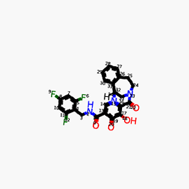 O=C(NCc1c(F)cc(F)cc1F)c1cn2c(c(O)c1=O)C(=O)N1CCc3ccccc3[C@H]2C1